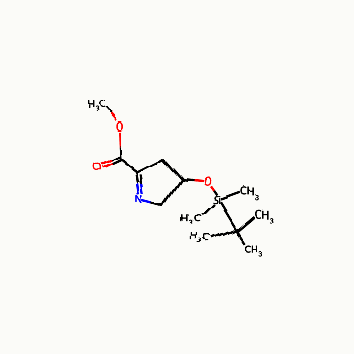 COC(=O)C1=NCC(O[Si](C)(C)C(C)(C)C)C1